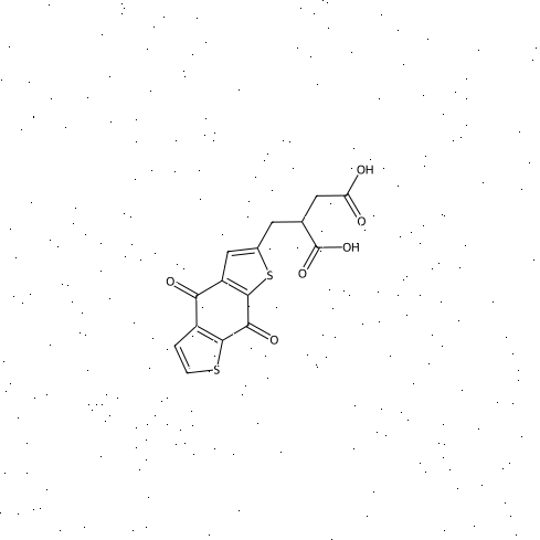 O=C(O)CC(Cc1cc2c(s1)C(=O)c1sccc1C2=O)C(=O)O